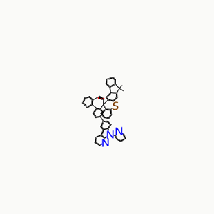 CC1(C)c2ccccc2-c2cc3c(cc21)Sc1ccccc1C31c2ccccc2-c2ccccc2-c2ccc(-c3ccc4c(c3)c3cccnc3n4-c3ccccn3)cc21